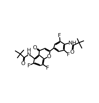 CC(C)(C)C(=O)Nc1c(F)cc(-c2cc(=O)c3c(NC(=O)C(C)(C)C)c(F)cc(F)c3o2)cc1F